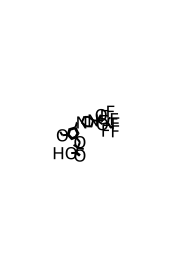 COc1cc(CN2CCN(C(=O)OC(C(F)(F)F)C(F)(F)F)CC2)cc(OC(C)(C)C(=O)O)c1